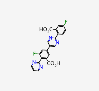 O=C(O)c1cc(F)ccc1-c1ncc(-c2cc(F)c(-c3ncccn3)c(C(=O)O)c2)cn1